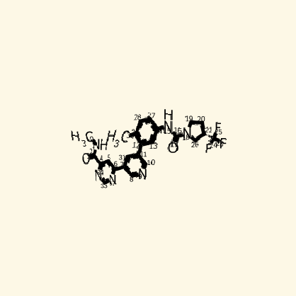 CNC(=O)c1cc(-c2cncc(-c3cc(NC(=O)N4CC[C@H](C(F)(F)F)C4)ccc3C)c2)ncn1